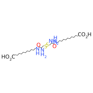 NC(CSSCC(N)C(=O)NCCCCCCCCCCCC(=O)O)C(=O)NCCCCCCCCCCCC(=O)O